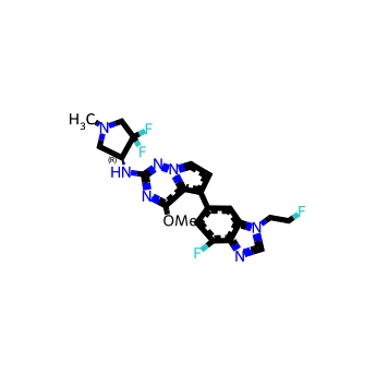 COc1nc(N[C@@H]2CN(C)CC2(F)F)nn2ccc(-c3cc(F)c4ncn(CCF)c4c3)c12